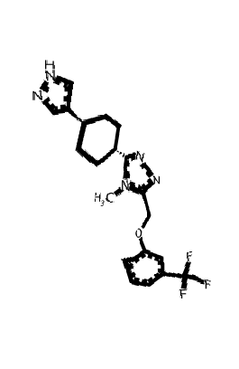 Cn1c(COc2cccc(C(F)(F)F)c2)nnc1[C@H]1CC[C@H](c2cn[nH]c2)CC1